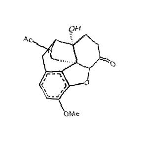 COc1ccc2c3c1OC1C(=O)CC[C@]4(O)C(C2)N(C(C)=O)CC[C@@]314